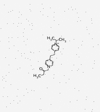 CCC(=O)C[n+]1ccc(CCc2cc[n+](C(C)C)cc2)cc1